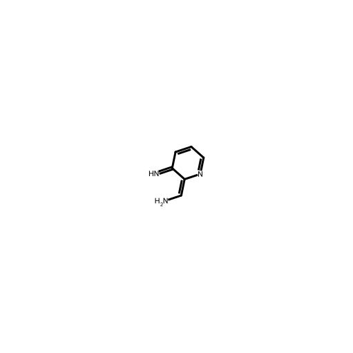 N=C1C=CC=N/C1=C/N